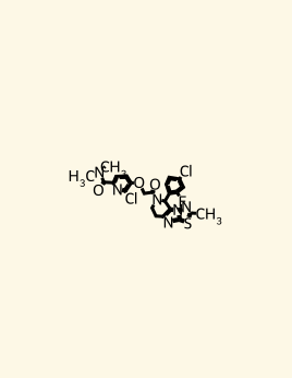 Cc1nn2c3c(nc2s1)CCN(C(=O)COc1ccc(C(=O)N(C)C)nc1Cl)C3c1ccc(Cl)cc1F